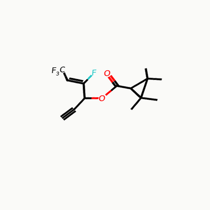 C#CC(OC(=O)C1C(C)(C)C1(C)C)C(F)=CC(F)(F)F